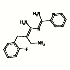 NC/C(Cc1ccccc1F)=C(N)\N=C(/N)c1ccccn1